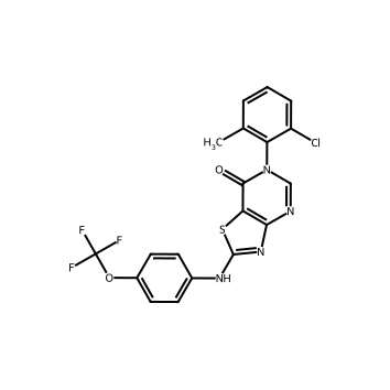 Cc1cccc(Cl)c1-n1cnc2nc(Nc3ccc(OC(F)(F)F)cc3)sc2c1=O